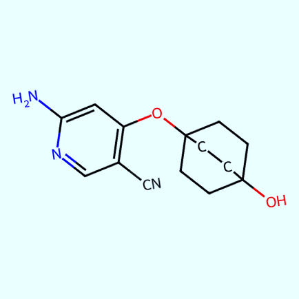 N#Cc1cnc(N)cc1OC12CCC(O)(CC1)CC2